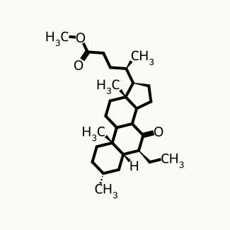 CC[C@@H]1C(=O)C2C3CC[C@H]([C@H](C)CCC(=O)OC)[C@@]3(C)CCC2[C@@]2(C)CC[C@@H](C)C[C@@H]12